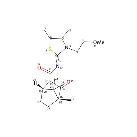 COCCn1c(C)c(C)s/c1=N\C(=O)[C@@H]1C(=O)[C@]2(C)CC[C@H]1C2(C)C